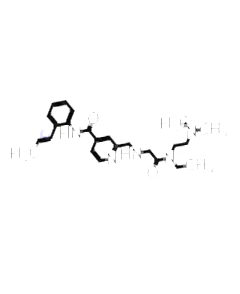 C/C=C/c1ccccc1NC(=O)c1ccnc(CNCC(=O)N(CC)CCN(C)C)c1